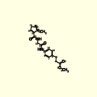 COC(=O)CCc1ccc(NC(=O)CNC(=O)c2ccnn2C)cc1